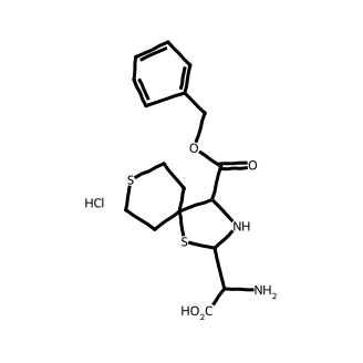 Cl.NC(C(=O)O)C1NC(C(=O)OCc2ccccc2)C2(CCSCC2)S1